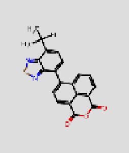 CCC(C)(C)c1ccc(-c2ccc3c4c(cccc24)C(=O)OC3=O)c2nsnc12